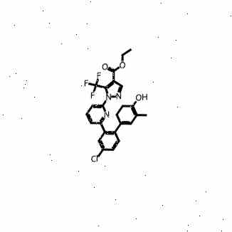 CCOC(=O)c1cnn(-c2cccc(-c3cc(Cl)ccc3C3=CC(C)=C(O)CC3)n2)c1C(F)(F)F